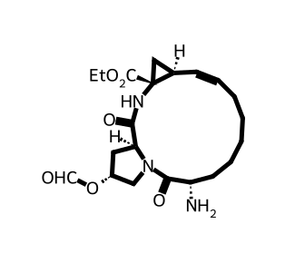 CCOC(=O)[C@@]12C[C@H]1/C=C\CCCCC[C@H](N)C(=O)N1C[C@H](OC=O)C[C@H]1C(=O)N2